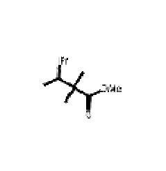 COC(=O)C(C)(C)C(C)C(C)C